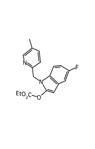 CCOC(=O)Oc1cc2cc(F)ccc2n1Cc1ccc(C)cn1